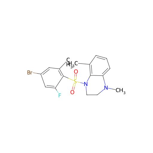 Cc1cccc2c1N(S(=O)(=O)c1c(C)cc(Br)cc1F)CCN2C